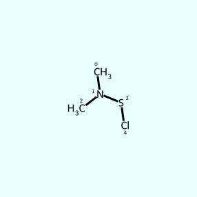 CN(C)SCl